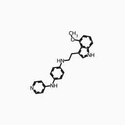 COc1cccc2[nH]cc(CCNc3ccc(Nc4ccncc4)cc3)c12